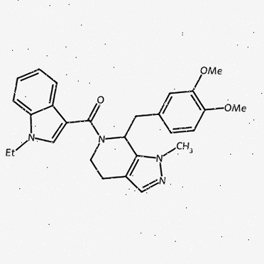 CCn1cc(C(=O)N2CCc3cnn(C)c3C2Cc2ccc(OC)c(OC)c2)c2ccccc21